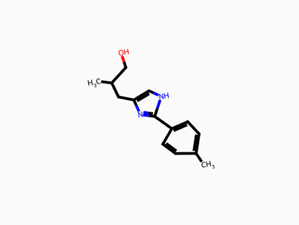 Cc1ccc(-c2nc(CC(C)CO)c[nH]2)cc1